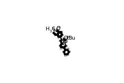 Cn1ccc2cc(N(Cc3ccc(C4CCCCC4)cn3)C(=O)OC(C)(C)C)ccc2c1=O